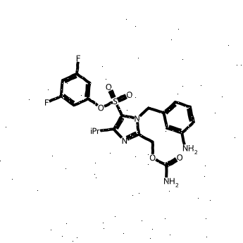 CC(C)c1nc(COC(N)=O)n(Cc2cccc(N)c2)c1S(=O)(=O)Oc1cc(F)cc(F)c1